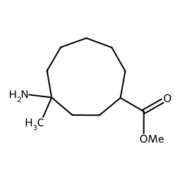 COC(=O)C1CCCCCC(C)(N)CC1